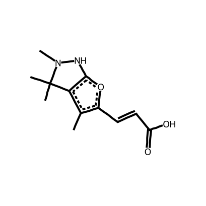 Cc1c(/C=C/C(=O)O)oc2c1C(C)(C)N(C)N2